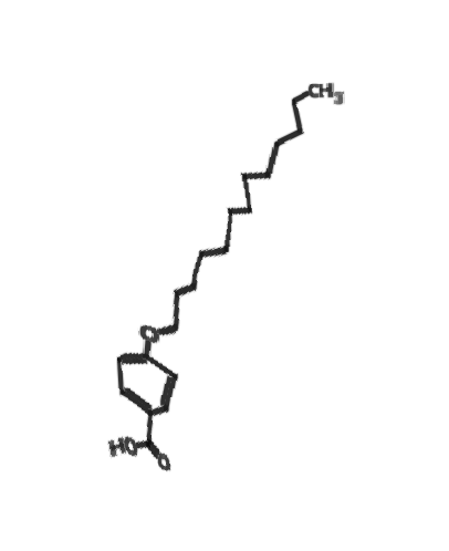 CCCCCCCCCCCCCOc1ccc(C(=O)O)cc1